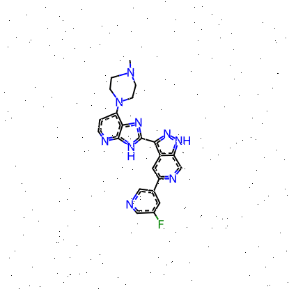 CN1CCN(c2ccnc3[nH]c(-c4n[nH]c5cnc(-c6cncc(F)c6)cc45)nc23)CC1